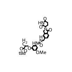 C=C(COc1cc(NC(=O)NCc2ccc3c(c2)CN(C2CCC(=O)NC2=O)C3=O)cc(OC)c1)C(=O)OC(C)(C)C